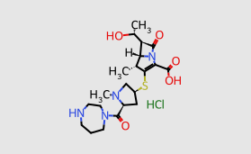 C[C@@H](O)[C@H]1C(=O)N2C(C(=O)O)=C(S[C@H]3C[C@@H](C(=O)N4CCCNCC4)N(C)C3)[C@H](C)[C@H]12.Cl